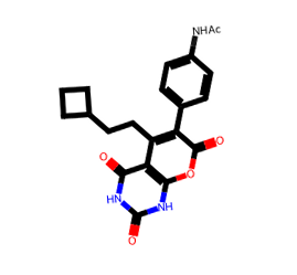 CC(=O)Nc1ccc(-c2c(CCC3CCC3)c3c(=O)[nH]c(=O)[nH]c3oc2=O)cc1